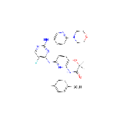 CC1(C)Oc2ccc(Nc3nc(Nc4ccc(N5CCOCC5)nc4)ncc3F)nc2NC1=O.Cc1ccc(S(=O)(=O)O)cc1